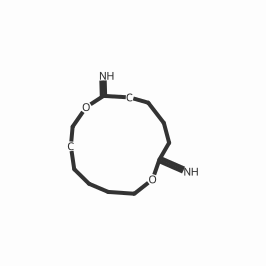 N=C1CCCCC(=N)OCCCCCCO1